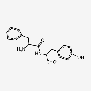 NC(Cc1ccccc1)C(=O)NC([C]=O)Cc1ccc(O)cc1